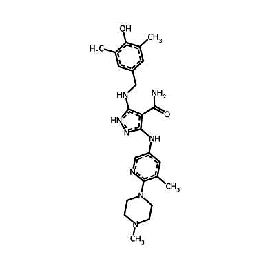 Cc1cc(Nc2n[nH]c(NCc3cc(C)c(O)c(C)c3)c2C(N)=O)cnc1N1CCN(C)CC1